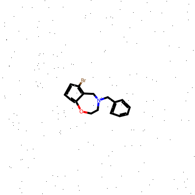 Brc1cccc2c1CN(Cc1ccccc1)CCO2